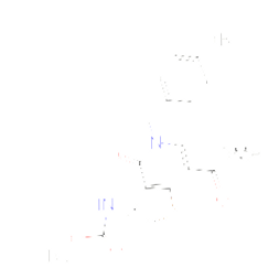 COC(=O)c1cn(Cc2ccc(C(C)(C)C)cc2)c(=O)c2c1SC[C@@H]2NC(=O)OC(C)(C)C